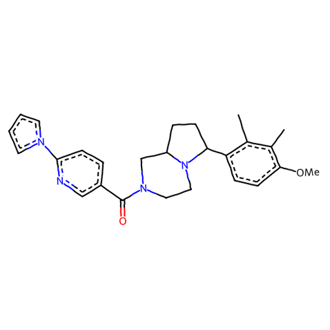 COc1ccc(C2CCC3CN(C(=O)c4ccc(-n5cccc5)nc4)CCN32)c(C)c1C